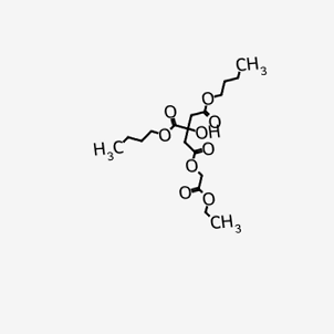 CCCCOC(=O)CC(O)(CC(=O)OCC(=O)OCC)C(=O)OCCCC